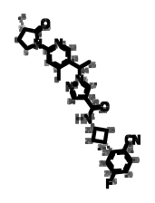 Cc1cc(N2CC[C@H](C)C2=O)ncc1C(C)n1cc(C(=O)N[C@H]2C[C@@H](c3cc(F)ccc3C#N)C2)cn1